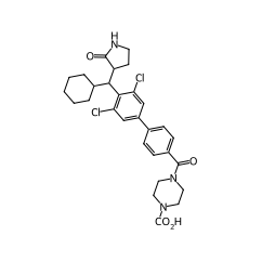 O=C1NCCC1C(c1c(Cl)cc(-c2ccc(C(=O)N3CCN(C(=O)O)CC3)cc2)cc1Cl)C1CCCCC1